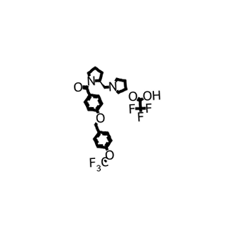 O=C(O)C(F)(F)F.O=C(c1ccc(OCc2ccc(OC(F)(F)F)cc2)cc1)N1CCC[C@H]1CN1CCCC1